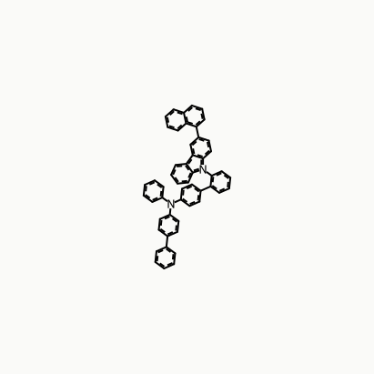 c1ccc(-c2ccc(N(c3ccccc3)c3ccc(-c4ccccc4-n4c5ccccc5c5cc(-c6cccc7ccccc67)ccc54)cc3)cc2)cc1